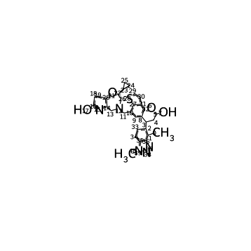 Cc1c(C(CC(=O)O)c2cc(CN3Cc4nc(O)ccc4O[C@@H](C4CC4)C3)c3sccc3c2)ccc2c1nnn2C